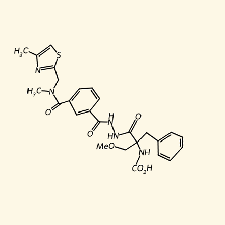 COCC(Cc1ccccc1)(NC(=O)O)C(=O)NNC(=O)c1cccc(C(=O)N(C)Cc2nc(C)cs2)c1